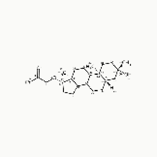 CC(C)C(=O)CO[C@H]1CCC2C3CC[C@H]4C[C@@](C)(O)CC[C@]4(C)C3CC[C@@]21C